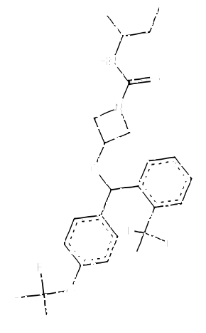 CCC(C)NC(=O)N1CC(OC(c2ccc(OC(F)(F)F)cc2)c2ccccc2C(F)(F)F)C1